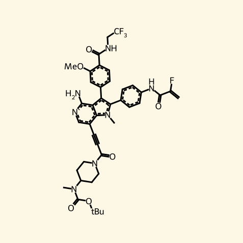 C=C(F)C(=O)Nc1ccc(-c2c(-c3ccc(C(=O)NCC(F)(F)F)c(OC)c3)c3c(N)ncc(C#CC(=O)N4CCC(N(C)C(=O)OC(C)(C)C)CC4)c3n2C)cc1